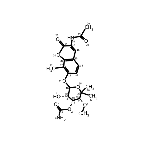 CO[C@@H]1[C@H](OC(N)=O)[C@H](O)C(Oc2ccc3cc(NC(C)=O)c(=O)oc3c2C)OC1(C)C